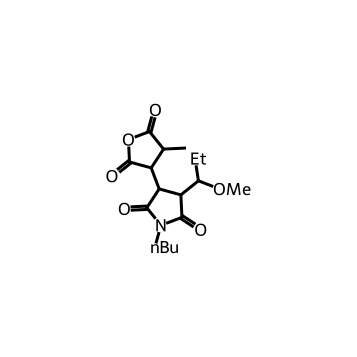 CCCCN1C(=O)C(C(CC)OC)C(C2C(=O)OC(=O)C2C)C1=O